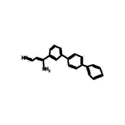 N=C/C=C(\N)c1cccc(-c2ccc(-c3ccccc3)cc2)c1